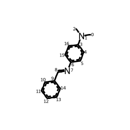 CN(C)c1ccc(N=Cc2ccccc2)cc1